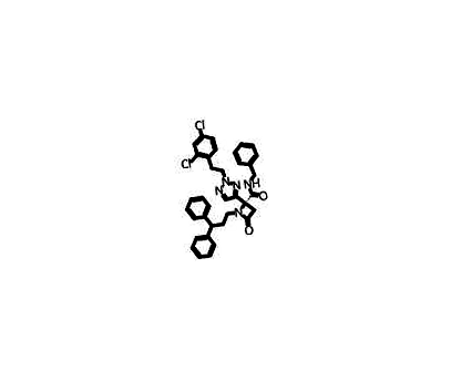 O=C1C[C@](C(=O)NCc2ccccc2)(c2cnn(CCc3ccc(Cl)cc3Cl)n2)N1CCC(c1ccccc1)c1ccccc1